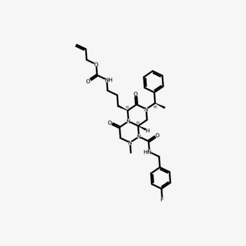 C=CCOC(=O)NCCC[C@H]1C(=O)N([C@H](C)c2ccccc2)C[C@H]2N1C(=O)CN(C)N2C(=O)NCc1ccc(F)cc1